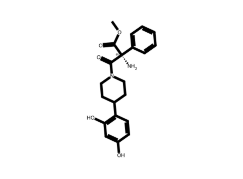 COC(=O)[C@](N)(C(=O)N1CCC(c2ccc(O)cc2O)CC1)c1ccccc1